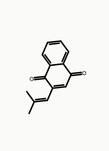 CC(C)=CC1=CC(=O)c2ccccc2C1=O